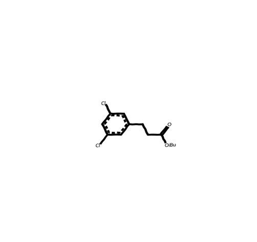 CC(C)COC(=O)CCc1cc(Cl)cc(Cl)c1